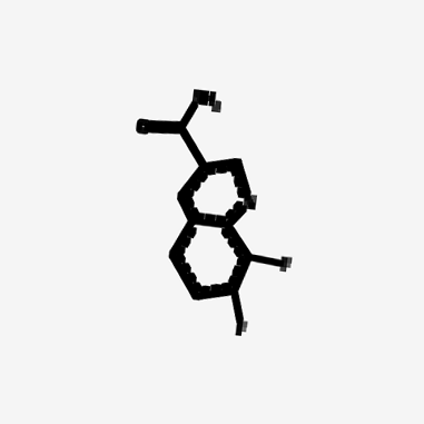 NC(=O)c1cnc2c(F)c(F)ccc2c1